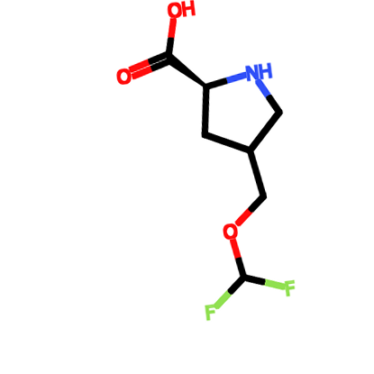 O=C(O)[C@@H]1CC(COC(F)F)CN1